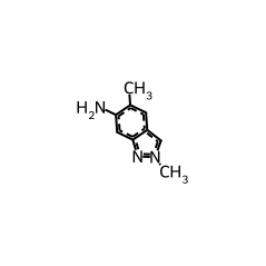 Cc1cc2cn(C)nc2cc1N